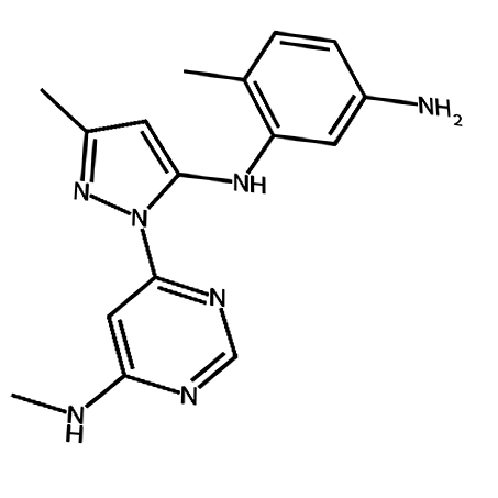 CNc1cc(-n2nc(C)cc2Nc2cc(N)ccc2C)ncn1